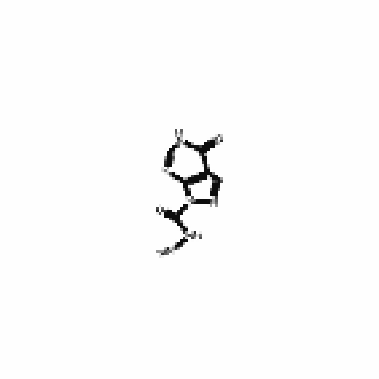 CCCCNC(=O)n1ncc2c(=O)[nH]cnc21